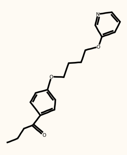 CCCC(=O)c1ccc(OCCCCOc2cccnc2)cc1